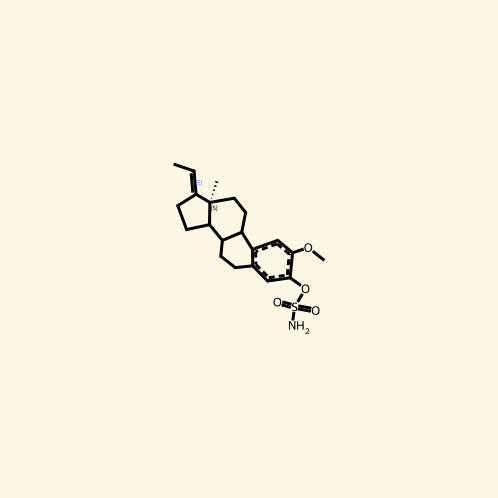 C/C=C1\CCC2C3CCc4cc(OS(N)(=O)=O)c(OC)cc4C3CC[C@]12C